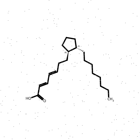 CCCCCCCC[C@H]1CCC[C@@H]1CCC=CC=CC(=O)O